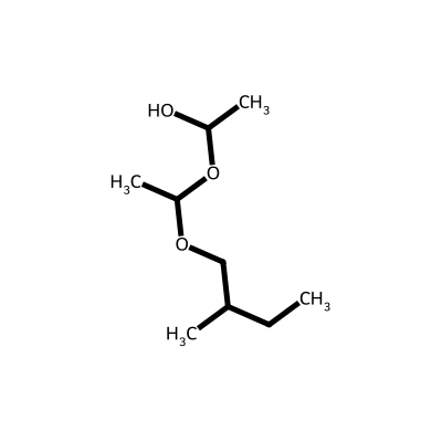 CCC(C)COC(C)OC(C)O